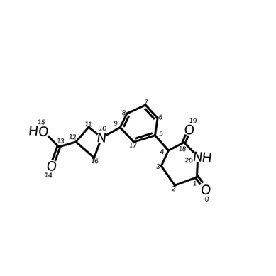 O=C1CCC(c2cccc(N3CC(C(=O)O)C3)c2)C(=O)N1